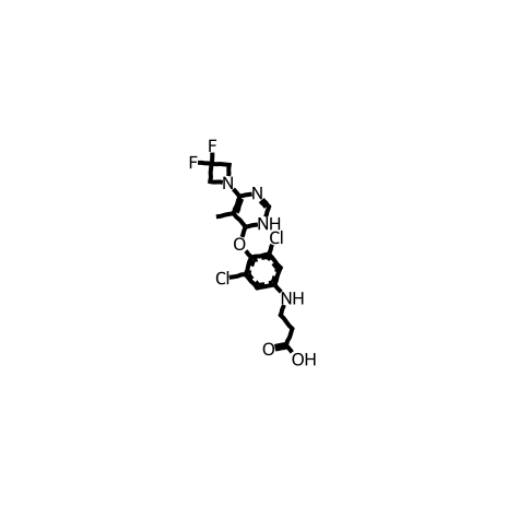 CC1=C(N2CC(F)(F)C2)N=CNC1Oc1c(Cl)cc(NCCC(=O)O)cc1Cl